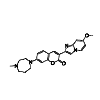 COc1ccn2cc(-c3cc4ccc(N5CCCN(C)CC5)cc4oc3=O)nc2c1